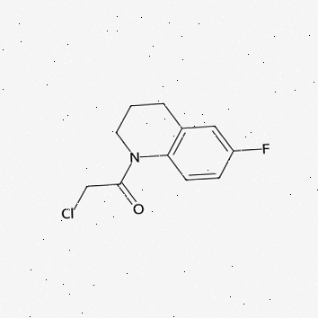 O=C(CCl)N1CCCc2cc(F)ccc21